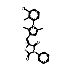 Cc1c(Cl)cccc1-n1c(C)cc(/C=C2/SC(=O)N(c3ccccc3)C2=O)c1C